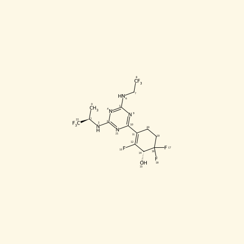 C[C@@H](Nc1nc(NCC(F)(F)F)nc(C2=C(F)[C@@H](O)C(F)(F)CC2)n1)C(F)(F)F